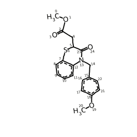 COC(=O)CC1Sc2ccccc2N(Cc2ccc(OC)cc2)C1=O